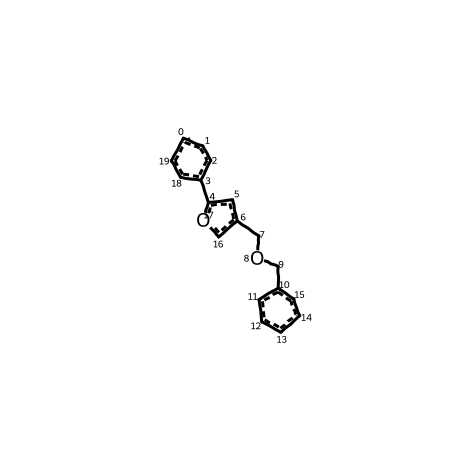 [c]1ccc(-c2cc(COCc3ccccc3)co2)cc1